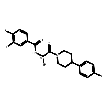 CC(C)[C@@H](NC(=O)c1ccc(F)c(F)c1)C(=O)N1CCC(c2ccc(F)cc2)CC1